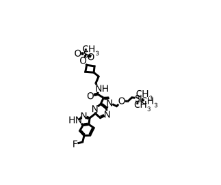 C[Si](C)(C)CCOCn1cc(C(=O)NCCC2CC(OS(C)(=O)=O)C2)c2nc(-c3n[nH]c4cc(CF)ccc34)cnc21